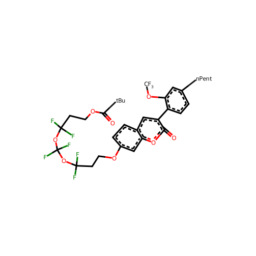 CCCCCc1ccc(-c2cc3ccc(OCCC(F)(F)OC(F)(F)OC(F)(F)CCOC(=O)C(C)(C)C)cc3oc2=O)c(OC(F)(F)F)c1